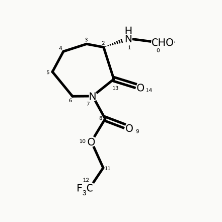 O=[C]N[C@H]1CCCCN(C(=O)OCC(F)(F)F)C1=O